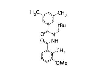 COc1cccc(C(=O)NN(CC(C)(C)C)C(=O)c2cc(C)cc(C)c2)c1C